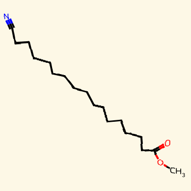 COC(=O)CCCCCCCCCCCCCCCC#N